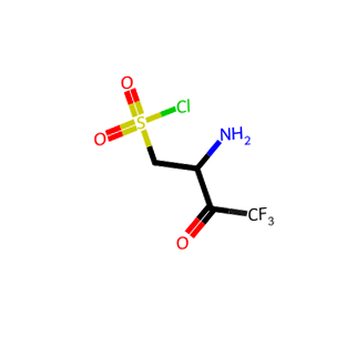 NC(CS(=O)(=O)Cl)C(=O)C(F)(F)F